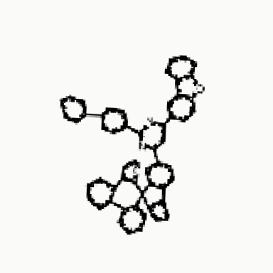 c1ccc(-c2ccc(-c3nc(-c4ccc5c(c4)C4(c6ccccc6-c6ccccc6-c6ccccc64)c4ccccc4-5)cc(-c4ccc5oc6ccccc6c5c4)n3)cc2)cc1